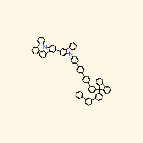 c1ccc(-c2cccc(-c3cccc(C4(c5cccc(-c6ccc(-c7ccc(-c8ccc(-n9c%10ccccc%10c%10cc(-c%11ccc%12c(c%11)c%11ccccc%11n%12-c%11ccccc%11-c%11ccccc%11)ccc%109)cc8)cc7)cc6)c5)c5ccccc5-c5ccccc54)c3)c2)cc1